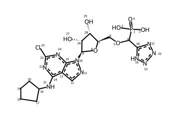 O=P(O)(O)C(OC[C@H]1O[C@@H](n2ncc3c(NC4CCCC4)nc(Cl)nc32)[C@H](O)[C@@H]1O)c1nnn[nH]1